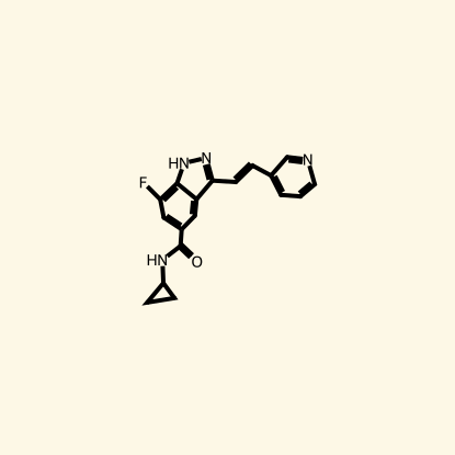 O=C(NC1CC1)c1cc(F)c2[nH]nc(C=Cc3cccnc3)c2c1